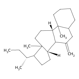 C=C1CC2CCCCC2(C)[C@H]2CCC3(C)C([C@H](C)CC)CC[C@H]3C12